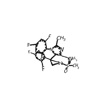 Cc1nc(C)n(-c2c(F)cc(F)cc2Cl)c1C1(c2ccc(F)cc2F)CN1S(C)(=O)=O